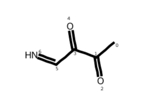 CC(=O)C(=O)C=N